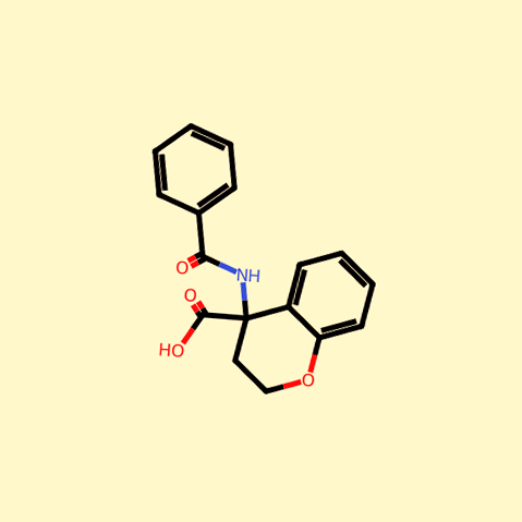 O=C(NC1(C(=O)O)CCOc2ccccc21)c1ccccc1